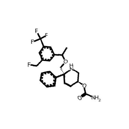 CC(OC[C@@]1(c2ccccc2)CC[C@H](OC(N)=O)CN1)c1cc(CF)cc(C(F)(F)F)c1